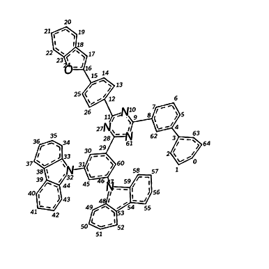 c1ccc(-c2cccc(-c3nc(-c4ccc(-c5cc6ccccc6o5)cc4)nc(-c4cc(-n5c6ccccc6c6ccccc65)cc(-n5c6ccccc6c6ccccc65)c4)n3)c2)cc1